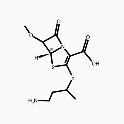 COC1C(=O)N2C(C(=O)O)=C(SC(C)CCN)S[C@H]12